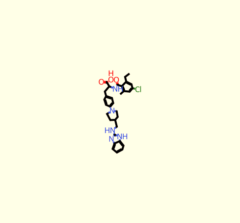 CCc1cc(Cl)cc(C)c1C(=O)NC(Cc1ccc(N2CCC(CNc3nc4ccccc4[nH]3)CC2)cc1)C(=O)O